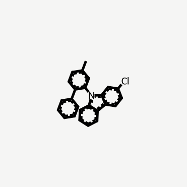 Cc1ccc(-c2ccccc2)c(-n2c3ccccc3c3ccc(Cl)cc32)c1